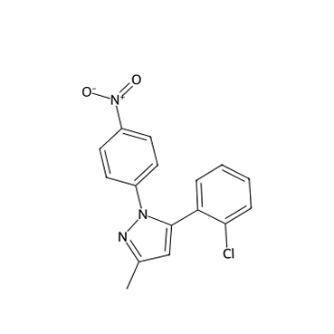 Cc1cc(-c2ccccc2Cl)n(-c2ccc([N+](=O)[O-])cc2)n1